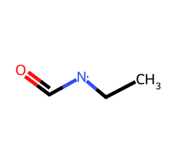 CC[N]C=O